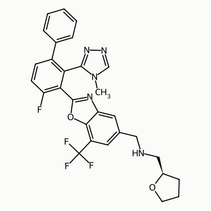 Cn1cnnc1-c1c(-c2ccccc2)ccc(F)c1-c1nc2cc(CNC[C@H]3CCCO3)cc(C(F)(F)F)c2o1